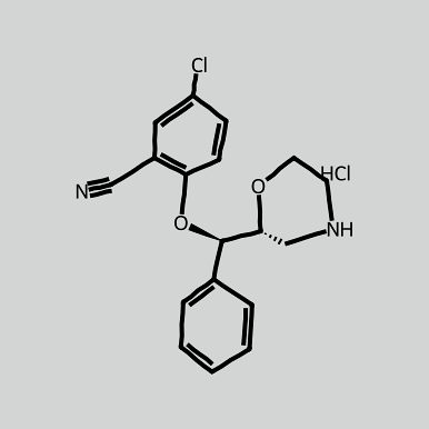 Cl.N#Cc1cc(Cl)ccc1O[C@H](c1ccccc1)[C@H]1CNCCO1